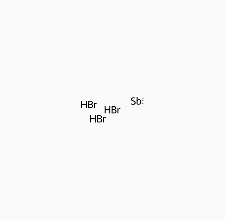 Br.Br.Br.[Sb]